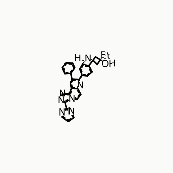 CC[C@]1(O)C[C@@](N)(c2ccc(-c3nc4ccn5c(-c6ncccn6)nnc5c4cc3-c3ccccc3)cc2)C1